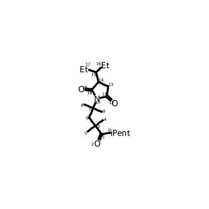 CCCC(C)C(=O)C(C)(C)CC(C)(C)N1C(=O)CC(C(CC)CC)C1=O